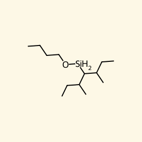 CCCCO[SiH2]C(C(C)CC)C(C)CC